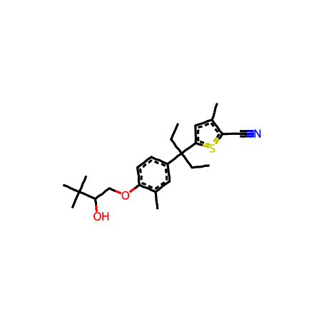 CCC(CC)(c1ccc(OCC(O)C(C)(C)C)c(C)c1)c1cc(C)c(C#N)s1